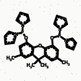 Cc1cc(OP(n2cccc2)n2cccc2)c2c(c1)C(C)(C)c1cc(C)cc(OP(n3cccc3)n3cccc3)c1O2